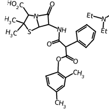 CCN(CC)CC.Cc1ccc(OC(=O)C(C(=O)NC2C(=O)N3C2SC(C)(C)C3C(=O)O)c2ccccc2)c(C)c1